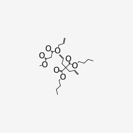 C=CCC(CC=C)(C(=O)OCCCC)C(=O)OCCCC.C=CCOC(=O)CC(=O)OC